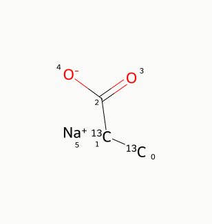 [13CH3][13CH2]C(=O)[O-].[Na+]